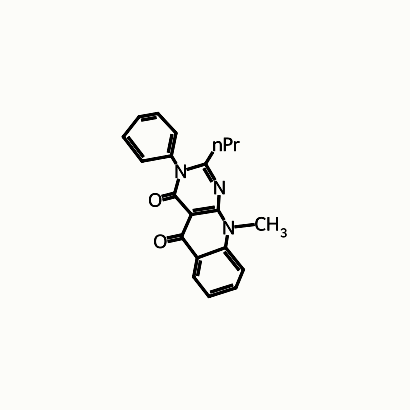 CCCc1nc2c(c(=O)c3ccccc3n2C)c(=O)n1-c1ccccc1